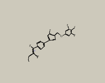 CC/C(F)=C(\F)c1ccc(-c2ccc(COc3cc(F)c(F)c(F)c3)c(F)c2)cc1